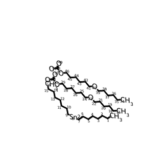 CCCCCCC[CH2][Sn+2][CH2]CCCCCCC.CCCCCCOCCCCCCOC(=O)[O-].CCCCCCOCCCCCCOC(=O)[O-]